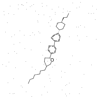 CCCCCCCC1CCC(c2ccc(-c3ccc([C@H]4CC[C@H](CCC)CC4)cc3)cc2)OC1